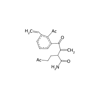 C=Cc1cccc(C(=O)C(=C)C(CCC(C)=O)C(N)=O)c1C(C)=O